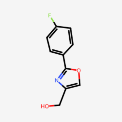 OCc1coc(-c2ccc(F)cc2)n1